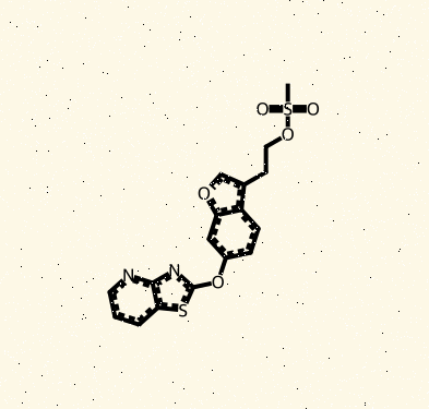 CS(=O)(=O)OCCc1coc2cc(Oc3nc4ncccc4s3)ccc12